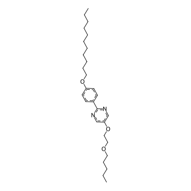 CCCCCCCCCCCOc1ccc(-c2ncc(OCCOCCCCC)cn2)cc1